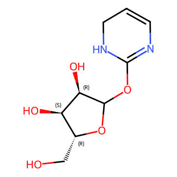 OC[C@H]1OC(OC2=NC=CCN2)[C@H](O)[C@@H]1O